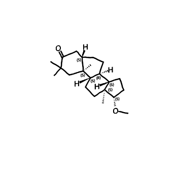 CO[C@H]1CC[C@H]2[C@@H]3CC[C@H]4CC(=O)C(C)(C)C[C@]4(C)[C@H]3CC[C@]12C